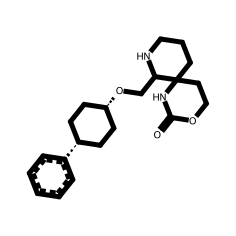 O=C1NC2(CCCNC2CO[C@H]2CC[C@@H](c3ccccc3)CC2)CCO1